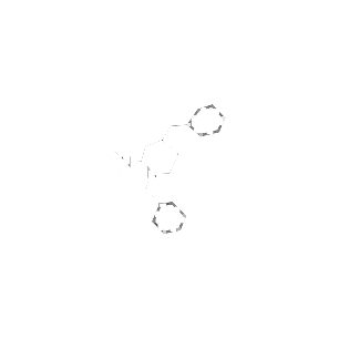 CN(C)C1CC(Cc2ccccc2)CCN1Cc1ccccc1